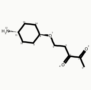 CC(=O)C(=O)CCO[C@H]1CC[C@H](N)CC1